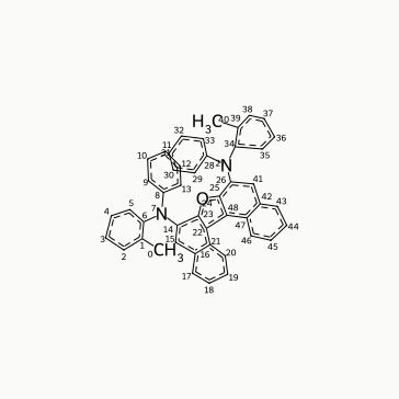 Cc1ccccc1N(c1ccccc1)c1cc2ccccc2c2c1oc1c(N(c3ccccc3)c3ccccc3C)cc3ccccc3c12